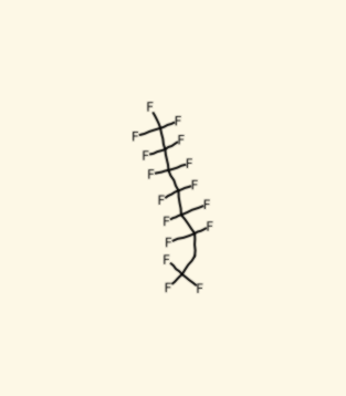 FC(F)(F)CC(F)(F)C(F)(F)C(F)(F)C(F)(F)C(F)(F)C(F)(F)F